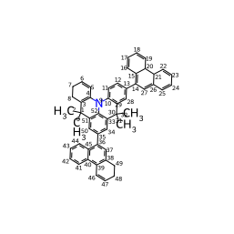 CC1(C)C2=C(C=CCC2)N2c3ccc(C4=C5C=CC=CC5C5C=CC=CC5=C4)cc3C(C)(C)c3cc(-c4cc5c(c6ccccc46)C=CCC5)cc1c32